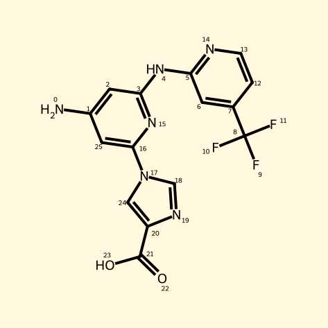 Nc1cc(Nc2cc(C(F)(F)F)ccn2)nc(-n2cnc(C(=O)O)c2)c1